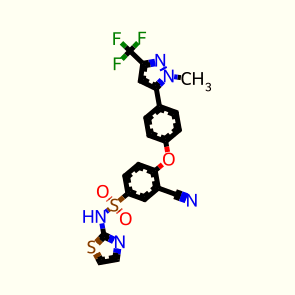 Cn1nc(C(F)(F)F)cc1-c1ccc(Oc2ccc(S(=O)(=O)Nc3nccs3)cc2C#N)cc1